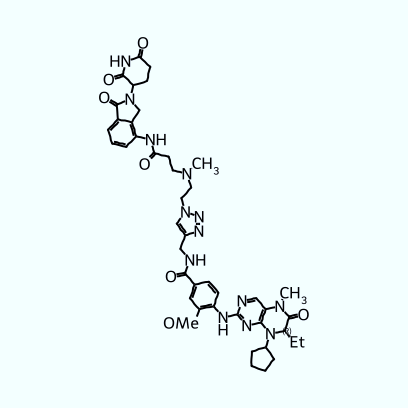 CC[C@@H]1C(=O)N(C)c2cnc(Nc3ccc(C(=O)NCc4cn(CCN(C)CCC(=O)Nc5cccc6c5CN(C5CCC(=O)NC5=O)C6=O)nn4)cc3OC)nc2N1C1CCCC1